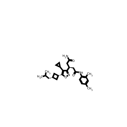 Cc1ccc(NC(=O)C[C@H](CC(N)=O)c2noc([C@H]3C[C@@H](CC(C)C)C3)c2C2CC2)c(C)c1